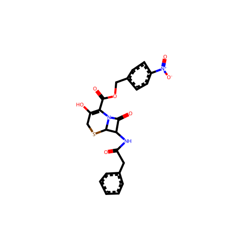 O=C(Cc1ccccc1)NC1C(=O)N2C(C(=O)OCc3ccc([N+](=O)[O-])cc3)=C(O)CSC12